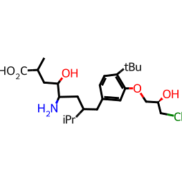 CC(CC(O)C(N)CC(Cc1ccc(C(C)(C)C)c(OC[C@@H](O)CCl)c1)C(C)C)C(=O)O